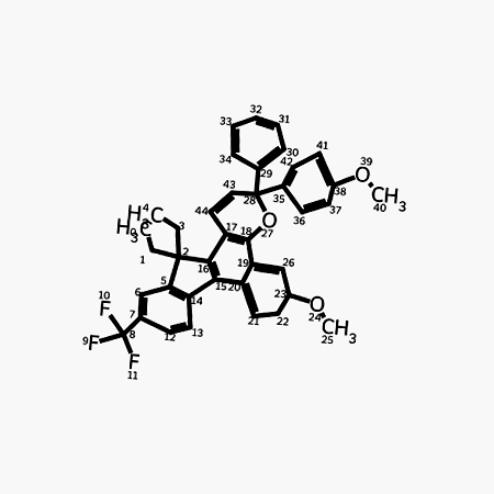 CCC1(CC)c2cc(C(F)(F)F)ccc2-c2c1c1c(c3c2=CCC(OC)C=3)OC(c2ccccc2)(c2ccc(OC)cc2)C=C1